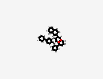 c1ccc(-c2ccc(N(c3ccccc3-c3ccccc3)c3nccc4c3sc3c5ccccc5ccc43)cc2)cc1